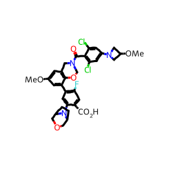 COc1cc2c(c(-c3cc(N4C5CCC4COC5)c(C(=O)O)cc3F)c1)OCN(C(=O)c1c(Cl)cc(N3CC(OC)C3)cc1Cl)C2